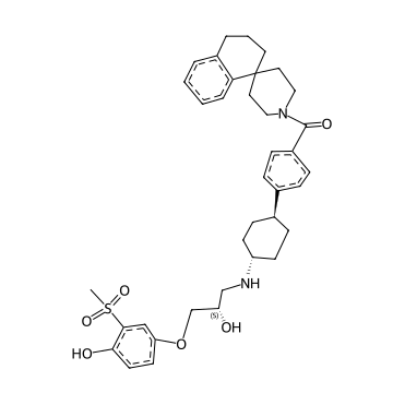 CS(=O)(=O)c1cc(OC[C@@H](O)CN[C@H]2CC[C@H](c3ccc(C(=O)N4CCC5(CCCc6ccccc65)CC4)cc3)CC2)ccc1O